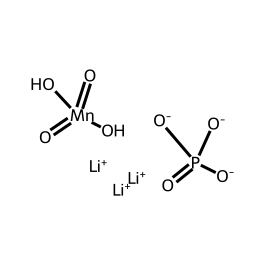 O=P([O-])([O-])[O-].[Li+].[Li+].[Li+].[O]=[Mn](=[O])([OH])[OH]